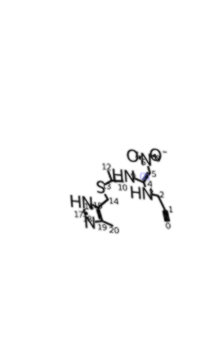 C#CCN/C(=C/[N+](=O)[O-])NCC(C)SCc1[nH]cnc1C